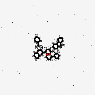 CC1(C)c2ccccc2-c2ccc(N(c3ccc(-c4cc5ccccc5c5nc(-c6ccccc6)oc45)cc3)c3ccccc3-c3ccccc3)cc21